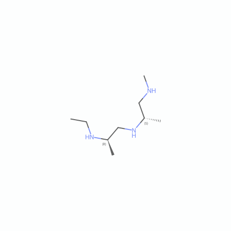 CCN[C@H](C)CN[C@@H](C)CNC